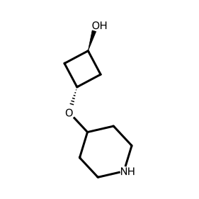 O[C@H]1C[C@H](OC2CCNCC2)C1